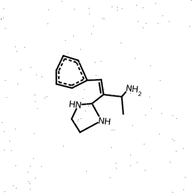 CC(N)C(=Cc1ccccc1)C1NCCN1